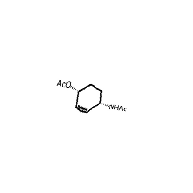 CC(=O)N[C@@H]1C=C[C@H](OC(C)=O)CC1